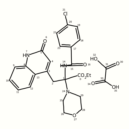 CCOC(=O)C(Cc1cc(=O)[nH]c2ccccc12)(NC(=O)c1ccc(Cl)cc1)N1CCOCC1.O=C(O)C(=O)O